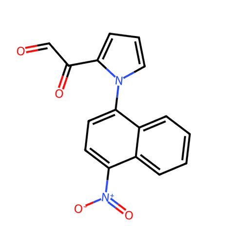 O=CC(=O)c1cccn1-c1ccc([N+](=O)[O-])c2ccccc12